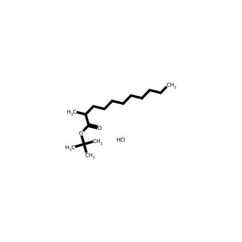 CCCCCCCCCC(C)C(=O)OC(C)(C)C.Cl